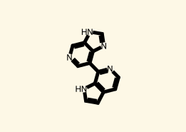 c1cc2cc[nH]c2c(-c2cncc3[nH]cnc23)n1